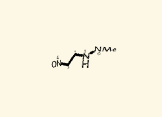 CNNCCN=O